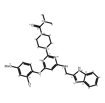 COc1ccc(Oc2cc(NCc3nc4ccccc4[nH]3)nc(N3CCN(C(=O)N(C)C)CC3)n2)c(Cl)c1